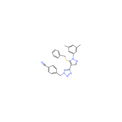 Cc1cc(C)cc(-n2ncc(-c3nnn(Cc4ccc(C#N)cc4)n3)c2SCc2ccccc2)c1